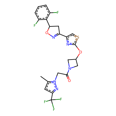 Cc1cc(C(F)(F)F)nn1CC(=O)N1CC(Oc2nc(C3=NOC(c4c(F)cccc4F)C3)cs2)C1